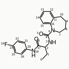 CCC(NC(=O)N1CCCCc2ccccc21)C(=O)Nc1ccc(F)cc1